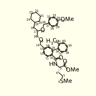 COC(=O)[C@H](CCSC)NC(=O)c1ccc(COCC(CC2CCCCC2)OCc2ccc(OC)cc2)cc1-c1ccccc1C